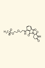 CS(=O)(=O)OCCOCCNc1cccc2c1C(=O)N(C1CCC(=O)NC1=O)C2=O